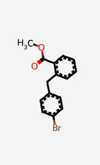 COC(=O)c1ccccc1Cc1ccc(Br)cc1